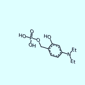 CCN(CC)c1ccc(COP(=O)(O)O)c(O)c1